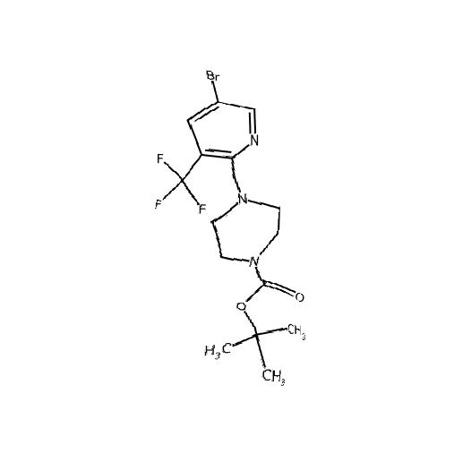 CC(C)(C)OC(=O)N1CCN(c2ncc(Br)cc2C(F)(F)F)CC1